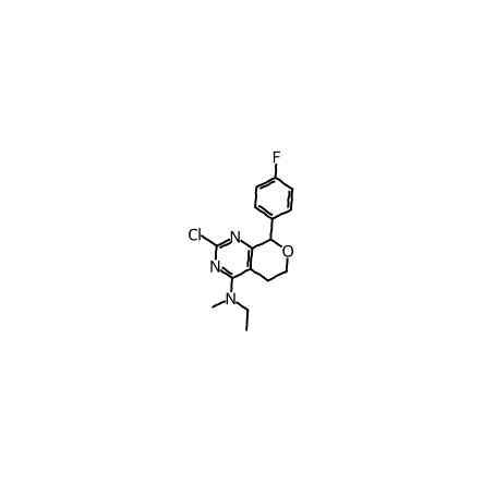 CCN(C)c1nc(Cl)nc2c1CCOC2c1ccc(F)cc1